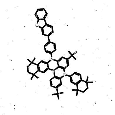 CC(C)(C)c1ccc2c(c1)N(c1ccc3c(c1)C(C)(C)CCC3(C)C)c1cc(C(C)(C)C)cc3c1B2c1cc2c(cc1N3c1ccc(-c3ccc4c(c3)oc3ccccc34)cc1)C(C)(C)CCC2(C)C